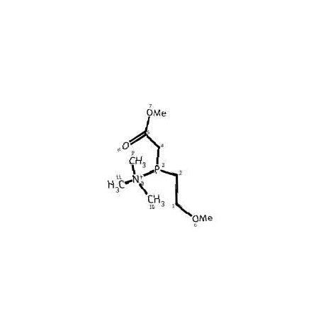 COCCP(CC(=O)OC)[N+](C)(C)C